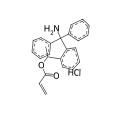 C=CC(=O)OC(C)c1ccccc1C(N)(c1ccccc1)c1ccccc1.Cl